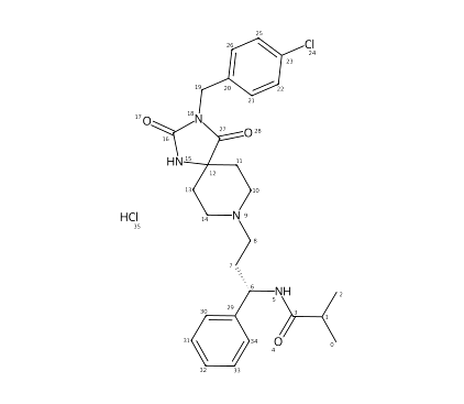 CC(C)C(=O)N[C@@H](CCN1CCC2(CC1)NC(=O)N(Cc1ccc(Cl)cc1)C2=O)c1ccccc1.Cl